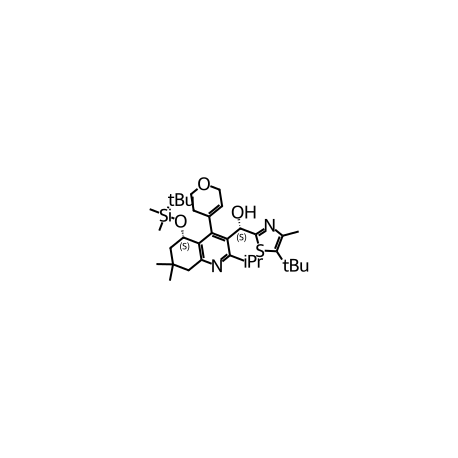 Cc1nc([C@@H](O)c2c(C(C)C)nc3c(c2C2=CCOCC2)[C@@H](O[Si](C)(C)C(C)(C)C)CC(C)(C)C3)sc1C(C)(C)C